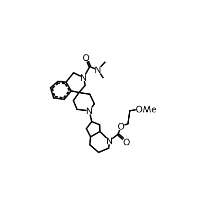 COCCOC(=O)N1CCCC2CC(N3CCC4(CC3)CN(C(=O)N(C)C)Cc3ccccc34)CC21